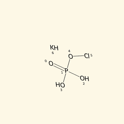 O=P(O)(O)OCl.[KH]